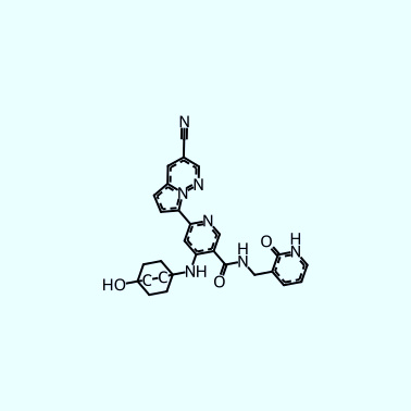 N#Cc1cnn2c(-c3cc(NC45CCC(O)(CC4)CC5)c(C(=O)NCc4ccc[nH]c4=O)cn3)ccc2c1